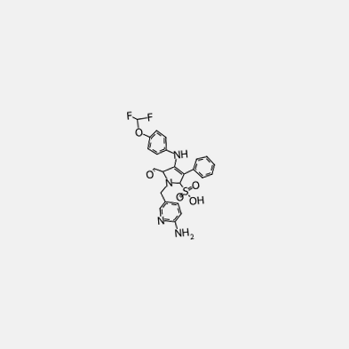 Nc1ccc(CN2C(C=O)C(Nc3ccc(OC(F)F)cc3)=C(c3ccccc3)C2S(=O)(=O)O)cn1